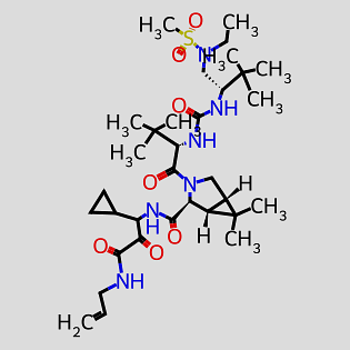 C=CCNC(=O)C(=O)C(NC(=O)[C@@H]1[C@@H]2[C@H](CN1C(=O)[C@@H](NC(=O)N[C@H](CN(CC)S(C)(=O)=O)C(C)(C)C)C(C)(C)C)C2(C)C)C1CC1